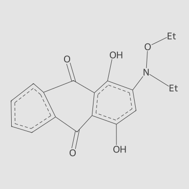 CCON(CC)c1cc(O)c2c(c1O)C(=O)c1ccccc1C2=O